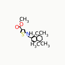 CCOC(=O)c1csc(N=Cc2ccc3c(c2)C(C)(C)CCC3(C)C)c1